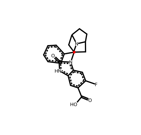 O=C(O)c1cc2[nH]c(=O)n(C3CC4CCC(C3)N4Cc3ccccc3)c2cc1F